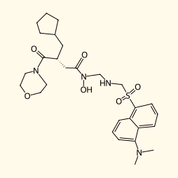 CN(C)c1cccc2c(S(=O)(=O)CNCN(O)C(=O)C[C@@H](CC3CCCC3)C(=O)N3CCOCC3)cccc12